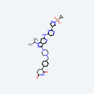 CC(C)n1nc(N2CCN(Cc3ccc(C4CCC(=O)NC4=O)cc3)CC2)c2cnc(Nc3ccnc(-c4cnn(S(=O)(=O)C5CC5)c4)n3)cc21